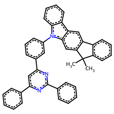 CC1(C)c2ccccc2-c2cc3c4ccccc4n(-c4cccc(-c5cc(-c6ccccc6)nc(-c6ccccc6)n5)c4)c3cc21